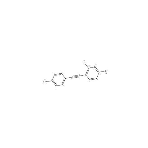 CCc1ccc(C#Cc2ccc(Cl)nc2F)cc1